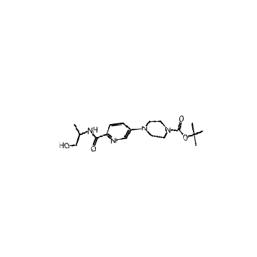 CC(CO)NC(=O)c1ccc(N2CCN(C(=O)OC(C)(C)C)CC2)cn1